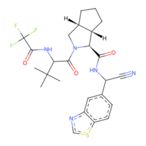 CC(C)(C)C(NC(=O)C(F)(F)F)C(=O)N1C[C@@H]2CCC[C@@H]2[C@H]1C(=O)NC(C#N)c1ccc2scnc2c1